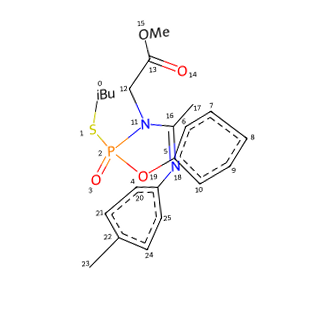 CCC(C)SP(=O)(Oc1ccccc1)N(CC(=O)OC)C(C)=Nc1ccc(C)cc1